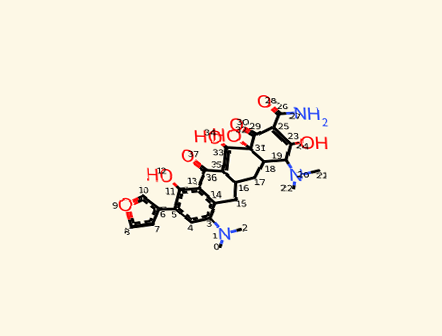 CN(C)c1cc(-c2ccoc2)c(O)c2c1CC1CC3C(N(C)C)C(O)=C(C(N)=O)C(=O)C3(O)C(O)=C1C2=O